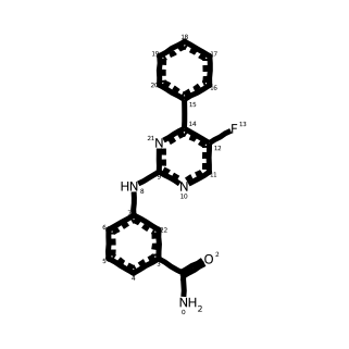 NC(=O)c1cccc(Nc2ncc(F)c(-c3ccccc3)n2)c1